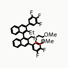 CCc1c(-c2cc(F)c(F)c(F)c2)cc2ccccc2c1-c1c(CN(CCOC)CCOC)c(-c2cc(F)c(F)c(F)c2)cc2ccccc12